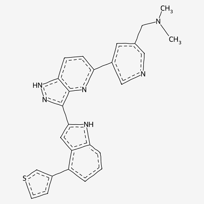 CN(C)Cc1cncc(-c2ccc3[nH]nc(-c4cc5c(-c6ccsc6)cccc5[nH]4)c3n2)c1